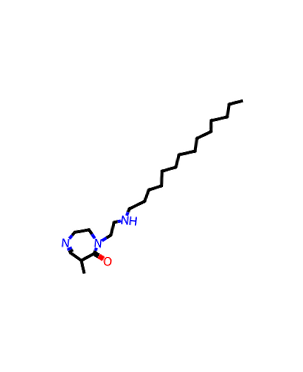 CCCCCCCCCCCCCCNCCN1CCN=CC(C)C1=O